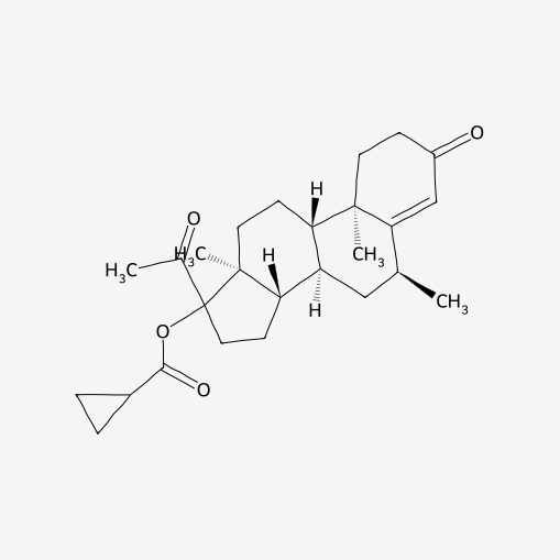 CC(=O)C1(OC(=O)C2CC2)CC[C@H]2[C@@H]3C[C@H](C)C4=CC(=O)CC[C@]4(C)[C@H]3CC[C@@]21C